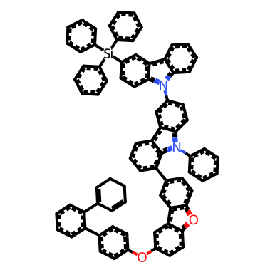 C1=CC(c2ccccc2-c2ccc(Oc3ccc4oc5ccc(-c6cccc7c8cc(-n9c%10ccccc%10c%10cc([Si](c%11ccccc%11)(c%11ccccc%11)c%11ccccc%11)ccc%109)ccc8n(-c8ccccc8)c67)cc5c4c3)cc2)=CCC1